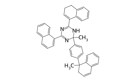 CC1(c2ccc(C3(C)CC=Cc4ccccc43)cc2)N=C(c2cccc3ccccc23)N=C(C2=CCCc3ccccc32)N1